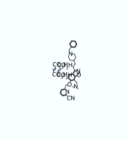 CN(C)Cc1c(OCc2cccc(C#N)n2)ccc2c(CCC3CCN(Cc4ccccc4)CC3)noc12.O=C(O)/C=C/C(=O)O.O=C(O)/C=C/C(=O)O